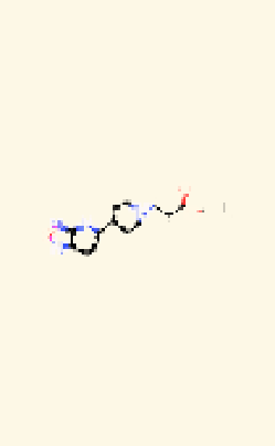 COC(=O)CC[n+]1ccc(-c2ccc3nonc3n2)cc1